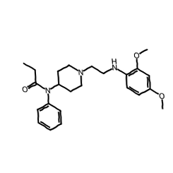 CCC(=O)N(c1ccccc1)C1CCN(CCNc2ccc(OC)cc2OC)CC1